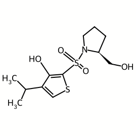 CC(C)c1csc(S(=O)(=O)N2CCC[C@H]2CO)c1O